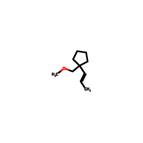 C/C=C/C1(COC)CCCC1